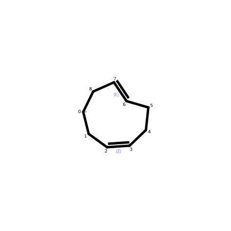 [CH]1C/C=C\CC/C=C/C1